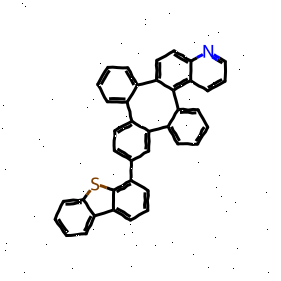 c1ccc2c(c1)-c1ccc(-c3cccc4c3sc3ccccc34)cc1-c1ccccc1-c1c-2ccc2ncccc12